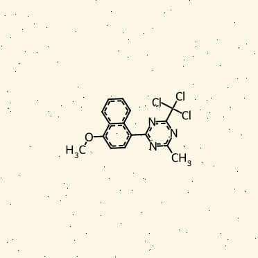 COc1ccc(-c2nc(C)nc(C(Cl)(Cl)Cl)n2)c2ccccc12